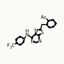 CC(=O)c1ccccc1Cc1nc2c(Nc3ccc(C(F)(F)F)cc3)ncnc2s1